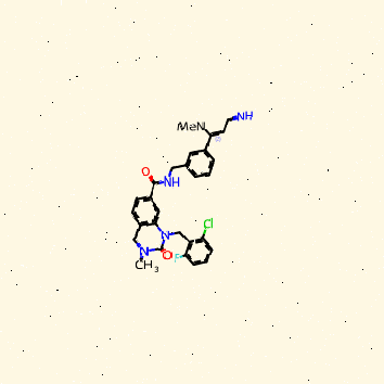 CN/C(=C\C=N)c1cccc(CNC(=O)c2ccc3c(c2)N(Cc2c(F)cccc2Cl)C(=O)N(C)C3)c1